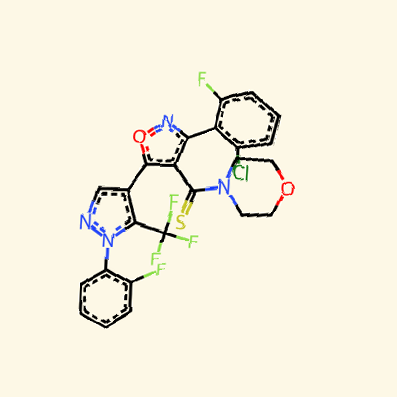 Fc1ccccc1-n1ncc(-c2onc(-c3c(F)cccc3Cl)c2C(=S)N2CCOCC2)c1C(F)(F)F